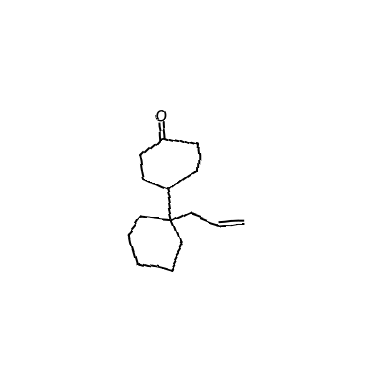 C=CCC1(C2CCC(=O)CC2)CCCCC1